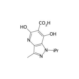 Cc1nn(C(C)C)c2c(O)c(C(=O)O)c(O)nc12